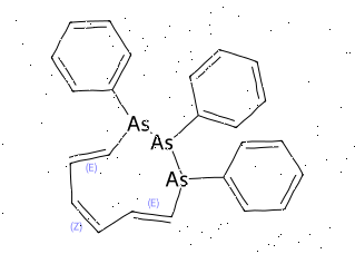 C1=C\C=C\[As](c2ccccc2)[As](c2ccccc2)[As](c2ccccc2)/C=C/1